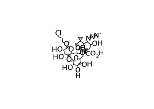 C[C@@H](O)C1(C2O[C@@](OCC3O[C@@H](O[C@@H]4C(CO)O[C@@H](OCCCCl)C(O)C4O)C(O)C(O)[C@H]3O)(C(=O)O)CC(O)C2N=[N+]=[N-])C=C1